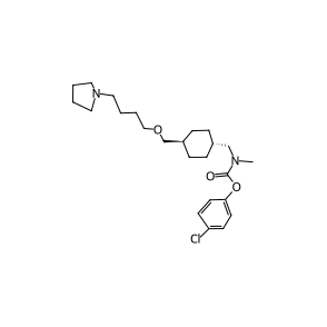 CN(C[C@H]1CC[C@H](COCCCCN2CCCC2)CC1)C(=O)Oc1ccc(Cl)cc1